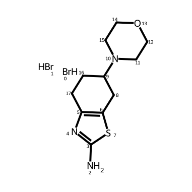 Br.Br.Nc1nc2c(s1)CC(N1CCOCC1)CC2